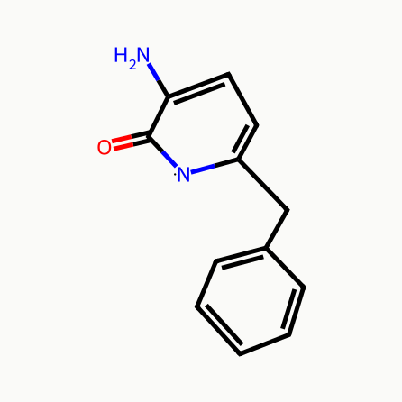 NC1=CC=C(Cc2ccccc2)[N]C1=O